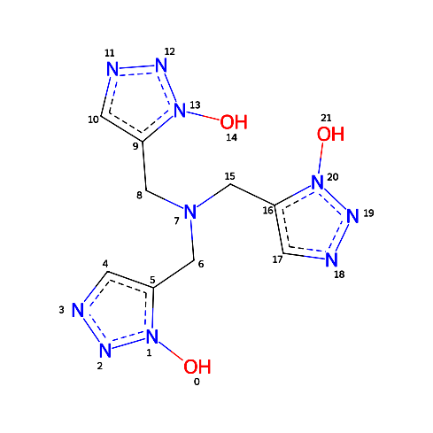 On1nncc1CN(Cc1cnnn1O)Cc1cnnn1O